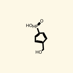 O=[PH](O)c1ccc(CO)cc1